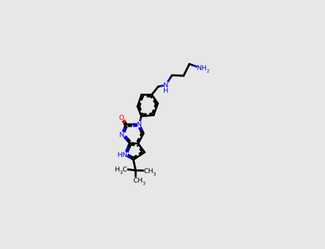 CC(C)(C)c1cc2cn(-c3ccc(CNCCCN)cc3)c(=O)nc2[nH]1